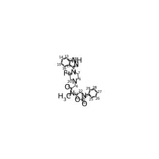 CN(C(=O)CN1CCN(c2n[nH]c3ccccc23)C(F)C1)C1CN(c2ccccc2)C(=O)O1